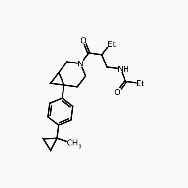 CCC(=O)NCC(CC)C(=O)N1CCC2(c3ccc(C4(C)CC4)cc3)CC2C1